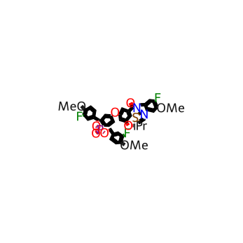 COc1ccc(COP(=O)(OCc2ccc(OC)c(F)c2)c2ccc(Oc3cc(OC(C)C)cc(C(=O)N(Cc4ccc(OC)c(F)c4)c4nccs4)c3)cc2)cc1F